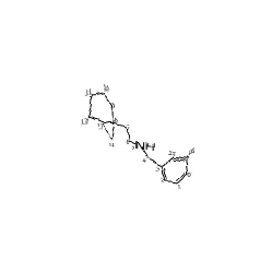 c1ccc(CNCCC23CCCCC2C3)cc1